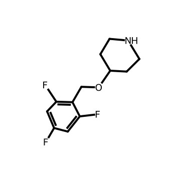 Fc1cc(F)c(COC2CCNCC2)c(F)c1